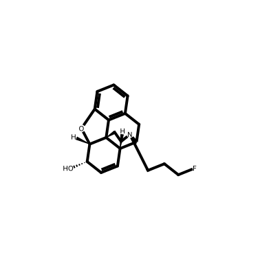 O[C@H]1C=C[C@H]2C3Cc4cccc5c4[C@@]2(CCN3CCCF)[C@H]1O5